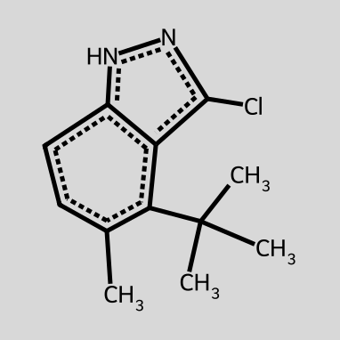 Cc1ccc2[nH]nc(Cl)c2c1C(C)(C)C